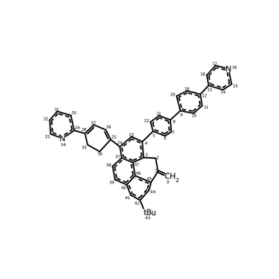 C=C1Cc2c(-c3ccc(-c4ccc(-c5ccncc5)cc4)cc3)cc(C3=CC=C(c4ccccn4)CC3)c3ccc4cc(C(C)(C)C)cc1c4c23